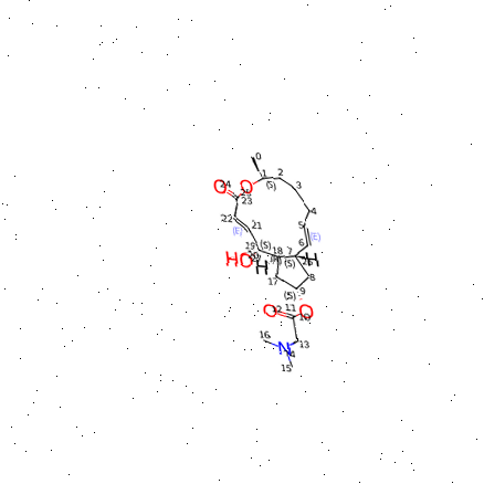 C[C@H]1CCC/C=C/[C@@H]2C[C@H](OC(=O)CN(C)C)C[C@H]2[C@H](O)/C=C/C(=O)O1